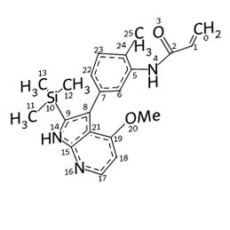 C=CC(=O)Nc1cc(-c2c([Si](C)(C)C)[nH]c3nccc(OC)c23)ccc1C